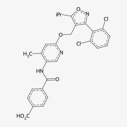 Cc1cc(OCc2c(-c3c(Cl)cccc3Cl)noc2C(C)C)ncc1NC(=O)c1ccc(C(=O)O)cc1